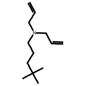 C=CCN(CC=C)CCCC(C)(C)C